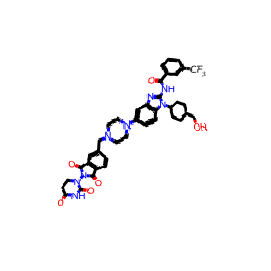 O=C1CCN(N2C(=O)c3ccc(CN4CCN(c5ccc6c(c5)nc(NC(=O)c5cccc(C(F)(F)F)c5)n6C5CCC(CO)CC5)CC4)cc3C2=O)C(=O)N1